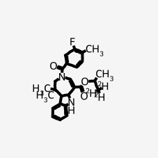 [2H]C([2H])([2H])C(C)OC(=O)C1=CN(C(=O)c2ccc(C)c(F)c2)CC(C)(C)C2c3ccccc3NC12